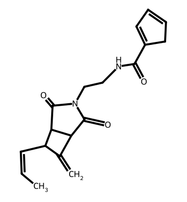 C=C1C(/C=C\C)C2C(=O)N(CCNC(=O)C3=CC=CC3)C(=O)C12